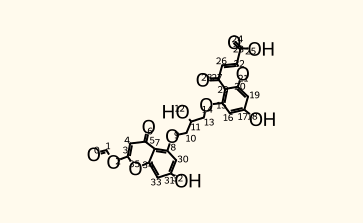 O=COc1cc(=O)c2c(OCC(O)COc3cc(O)cc4oc(C(=O)O)cc(=O)c34)cc(O)cc2o1